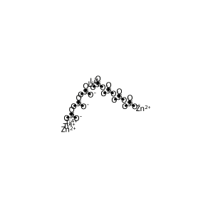 O=[Si]([O-])[O-].O=[Si]([O-])[O-].O=[Si]([O-])[O-].O=[Si]([O-])[O-].O=[Si]([O-])[O-].O=[Si]([O-])[O-].O=[Si]([O-])[O-].[Li+].[Li+].[Ti+4].[Ti+4].[Zn+2].[Zn+2]